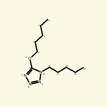 CCCCCOc1nnnn1CCCCC